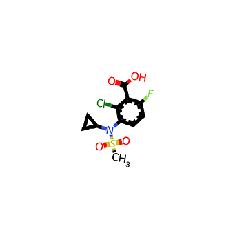 CS(=O)(=O)N(c1ccc(F)c(C(=O)O)c1Cl)C1CC1